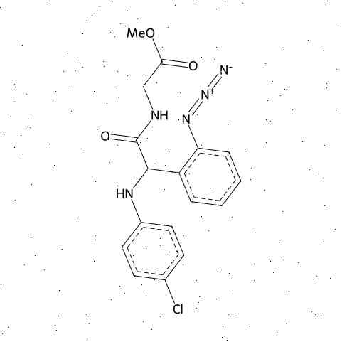 COC(=O)CNC(=O)C(Nc1ccc(Cl)cc1)c1ccccc1N=[N+]=[N-]